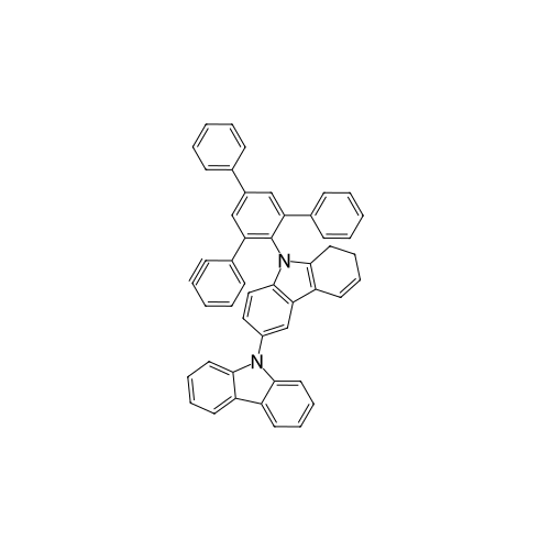 c1cccc(-c2cc(-c3ccccc3)cc(-c3ccccc3)c2-n2c3c(c4cc(-n5c6ccccc6c6ccccc65)ccc42)C=CCC3)c#1